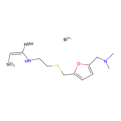 CN/C(=C/[N+](=O)[O-])NCCSCc1ccc(CN(C)C)o1.[Bi+3]